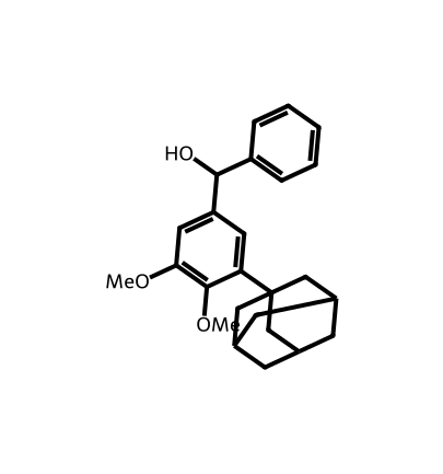 COc1cc(C(O)c2ccccc2)cc(C23CC4CC(CC(C4)C2)C3)c1OC